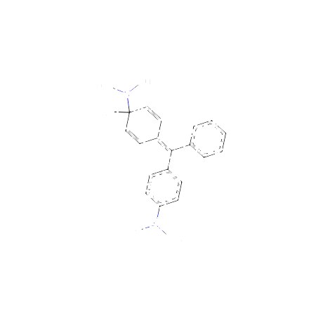 CN(C)c1ccc(C(=C2C=CC(C)(N(C)C)C=C2)c2ccccc2)cc1